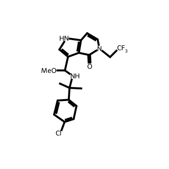 COC(NC(C)(C)c1ccc(Cl)cc1)c1c[nH]c2ccn(CC(F)(F)F)c(=O)c12